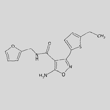 CCc1ccc(-c2noc(N)c2C(=O)NCc2ccco2)s1